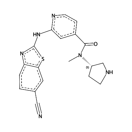 CN(C(=O)c1ccnc(Nc2nc3ccc(C#N)cc3s2)c1)[C@H]1CCNC1